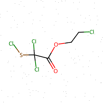 O=C(OCCCl)C(Cl)(Cl)SCl